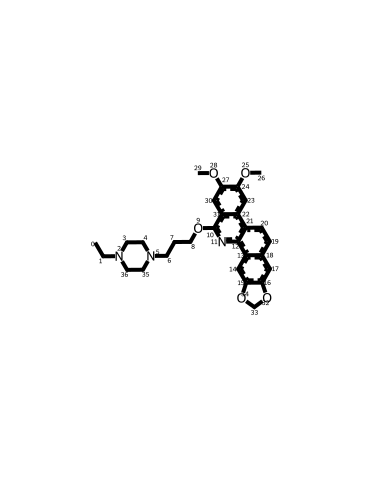 CCN1CCN(CCCOc2nc3c4cc5c(cc4ccc3c3cc(OC)c(OC)cc23)OCO5)CC1